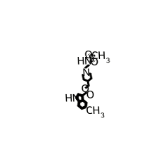 Cc1ccc2[nH]cc(C(=O)OCC3CCN(CCNS(C)(=O)=O)CC3)c2c1